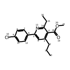 CCCc1cc(-c2ccc(Cl)cc2)nc(CC)c1C(=O)OC